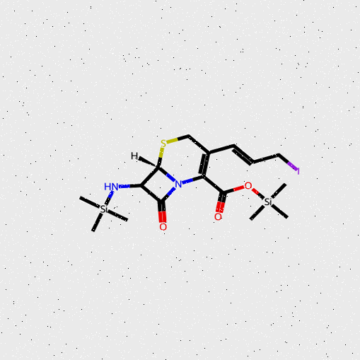 C[Si](C)(C)NC1C(=O)N2C(C(=O)O[Si](C)(C)C)=C(C=CCI)CS[C@@H]12